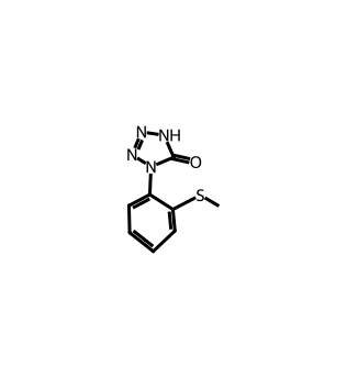 CSc1ccccc1-n1nn[nH]c1=O